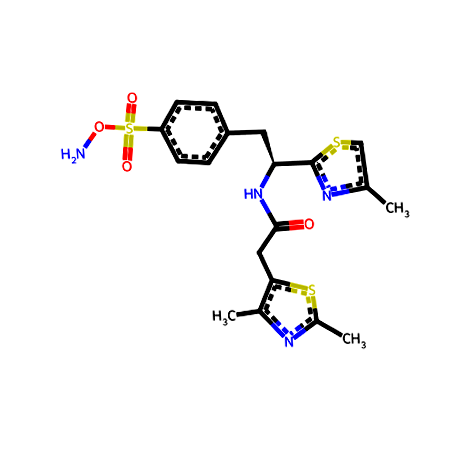 Cc1csc([C@H](Cc2ccc(S(=O)(=O)ON)cc2)NC(=O)Cc2sc(C)nc2C)n1